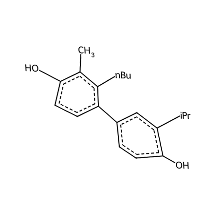 CCCCc1c(-c2ccc(O)c(C(C)C)c2)ccc(O)c1C